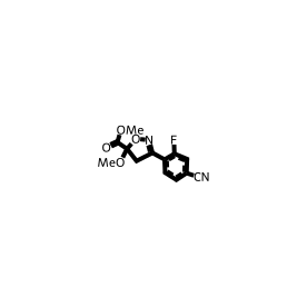 COC(=O)C1(OC)CC(c2ccc(C#N)cc2F)=NO1